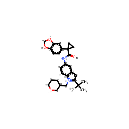 CC(C)(C)c1cc2cc(NC(=O)C3(c4ccc5c(c4)OCO5)CC3)ccc2n1CC1CCCOC1